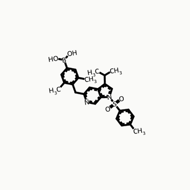 Cc1ccc(S(=O)(=O)n2cc(C(C)C)c3cc(Cc4c(C)cc(B(O)O)cc4C)ncc32)cc1